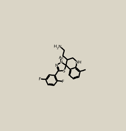 CC(=O)N1N=C(c2cc(F)ccc2F)SC12c1cccc(C)c1NCC2CCN